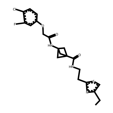 CCc1csc(CCNC(=O)C23CC(NC(=O)COc4ccc(Cl)c(F)c4)(C2)C3)n1